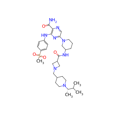 CC(C)[C@H](C)N1CCC(CN2CC(C(=O)NC3CCCN(c4cnc(C(N)=O)c(Nc5ccc(S(C)(=O)=O)cc5)n4)C3)C2)CC1